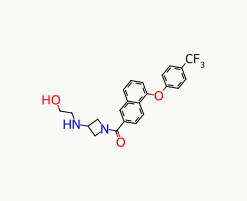 O=C(c1ccc2c(Oc3ccc(C(F)(F)F)cc3)cccc2c1)N1CC(NCCO)C1